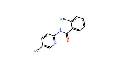 N#Cc1ccc(NC(=O)c2ccccc2N)nc1